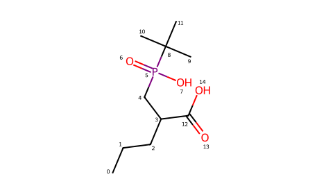 CCCC(CP(=O)(O)C(C)(C)C)C(=O)O